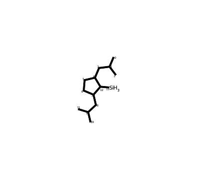 CC(C)CC1CCC(CC(C)C)C1[SiH3]